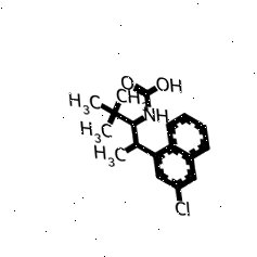 CC(c1cc(Cl)cc2ccccc12)C(NC(=O)O)C(C)(C)C